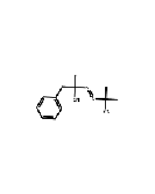 CC(C)(C#N)N=NC(C)(C#N)Cc1ccccc1